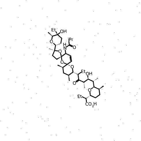 CCC(C(=O)[C@@H](C)[C@@H](O)[C@H](C)[C@@H]1O[C@@H](C(CC)C(=O)O)CC[C@@H]1C)[C@H]1O[C@]2(C=CC(NC(=O)C(C)C)[C@]3(CC[C@@](C)([C@H]4CC[C@](O)(CC)[C@H](C)O4)O3)O2)[C@H](C)C[C@@H]1C